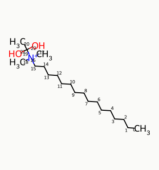 CCCCCCCCCCCCCCCC[N+](C)(C)C(C)(O)O